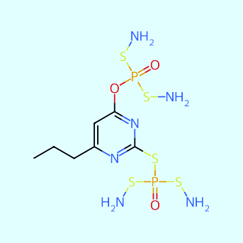 CCCc1cc(OP(=O)(SN)SN)nc(SP(=O)(SN)SN)n1